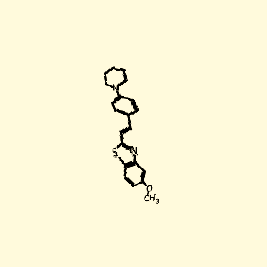 COc1ccc2sc(C=Cc3ccc(N4CCCCC4)cc3)nc2c1